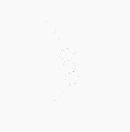 CCCCOc1cc2oc3cc(OCCCC)ccc3cc-2c(=O)c1